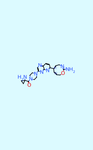 N/C1=N/C/C=C(c2ccc3ncc(N4CCN(C(=O)C5(N)CC5)CC4)nc3n2)\C=C/CO1